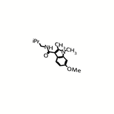 COc1ccc2c(C(=O)NCC(C)C)c(C)n(C)c2c1